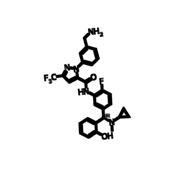 CN(C1CC1)[C@H](c1ccc(F)c(NC(=O)c2cc(C(F)(F)F)nn2-c2cccc(CN)c2)c1)c1ccccc1O